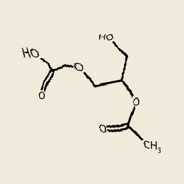 CC(=O)OC(CO)COC(=O)O